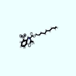 CCCCCCCCCOC(=O)/C(=C/c1ccccc1[N+](=O)[O-])C(C)=O